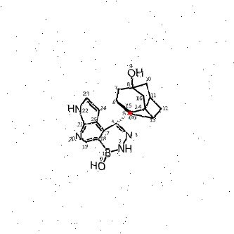 OB1NN=C([C@@H]2C3CC4(O)CC5CC2C5(C3)C4)c2c1cnc1[nH]ccc21